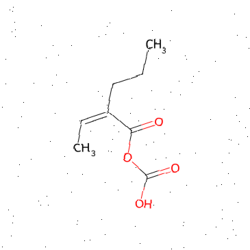 CC=C(CCC)C(=O)OC(=O)O